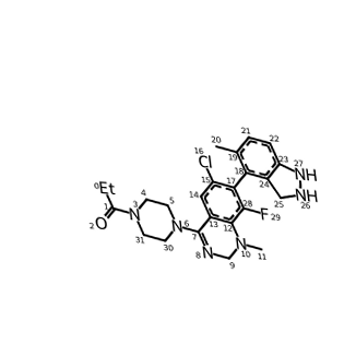 CCC(=O)N1CCN(C2=NCN(C)c3c2cc(Cl)c(-c2c(C)ccc4c2CNN4)c3F)CC1